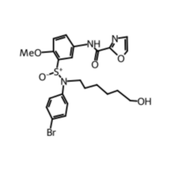 COc1ccc(NC(=O)c2ncco2)cc1[S+]([O-])N(CCCCCCO)c1ccc(Br)cc1